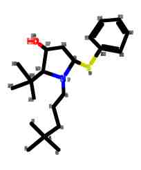 CC(C)(C)CCCN1C(Sc2ccccc2)CC(O)C1C(C)(C)C